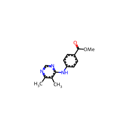 COC(=O)c1ccc(Nc2ncnc(C)c2C)cc1